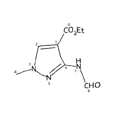 CCOC(=O)c1cn(C)nc1NC=O